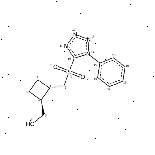 O=S(=O)(C[C@H]1CC[C@@H]1CO)c1nnnn1-c1ccccc1